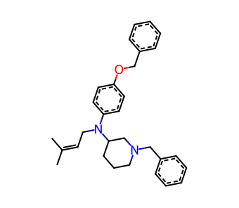 CC(C)=CCN(c1ccc(OCc2ccccc2)cc1)C1CCCN(Cc2ccccc2)C1